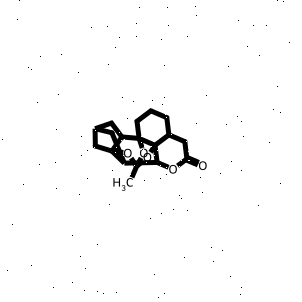 CC12OC34CC5CC3C3OC(=O)CC6CCCC(O1)(C4C5)C63O2